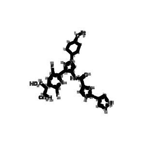 CCOC1CCC(n2cc(NC(=O)c3csc(-c4cn[nH]c4)n3)c(-c3nc(F)ccc3F)n2)CC1.O=C(O)CCC(=O)O